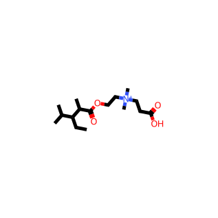 CCC(C(C)C)C(C)C(=O)OCC[N+](C)(C)CCC(=O)O